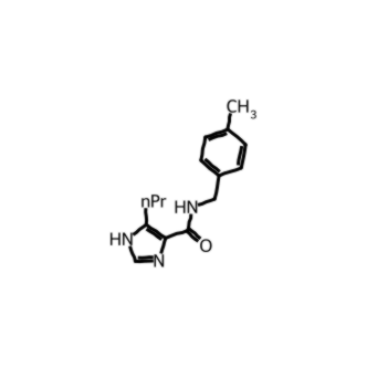 CCCc1[nH]cnc1C(=O)NCc1ccc(C)cc1